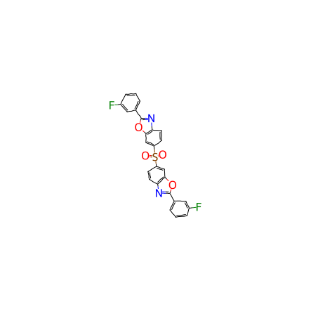 O=S(=O)(c1ccc2nc(-c3cccc(F)c3)oc2c1)c1ccc2nc(-c3cccc(F)c3)oc2c1